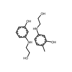 Cc1ccc(NCCO)cc1O.OCCNc1cccc(O)c1